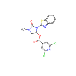 CN1CC(OC(=O)c2cc(Cl)nc(Cl)c2)N(c2nc3ccccc3s2)C1=O